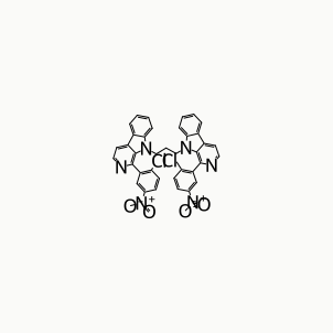 O=[N+]([O-])c1ccc(Cl)c(-c2nccc3c4ccccc4n(CCCn4c5ccccc5c5ccnc(-c6cc([N+](=O)[O-])ccc6Cl)c54)c23)c1